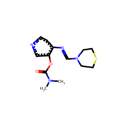 CN(C)C(=O)Oc1cnccc1N=CN1CCSCC1